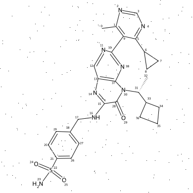 Cc1ncnc(C2CC2)c1-c1ncc2nc(NCc3ccc(S(N)(=O)=O)cc3)c(=O)n([C@H](C)C3CCC3)c2n1